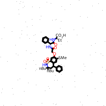 CCCCC1(CCCC)CC(c2ccccc2)c2cc(SC)c(OCC(=O)N[C@@H](C(=O)N[C@@H](CC)C(=O)O)c3ccccc3)cc2S(=O)(=O)N1